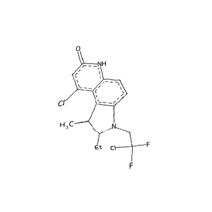 CCC1C(C)c2c(ccc3[nH]c(=O)cc(Cl)c23)N1CC(F)(F)Cl